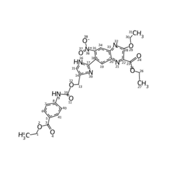 CCOC(=O)c1ccc(NC(=O)OCc2c[nH]c(-c3cc4nc(C(=O)OCC)c(OCC)nc4cc3[N+](=O)[O-])n2)cc1